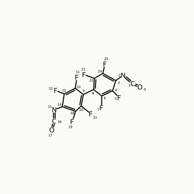 O=C=Nc1c(F)c(F)c(-c2c(F)c(F)c(N=C=O)c(F)c2F)c(F)c1F